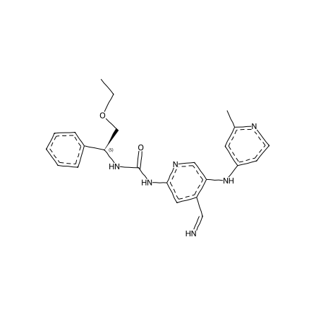 CCOC[C@@H](NC(=O)Nc1cc(C=N)c(Nc2ccnc(C)c2)cn1)c1ccccc1